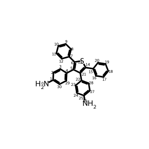 Nc1ccc(-c2c(-c3ccccc3)sc(-c3ccccc3)c2-c2ccc(N)cc2)cc1